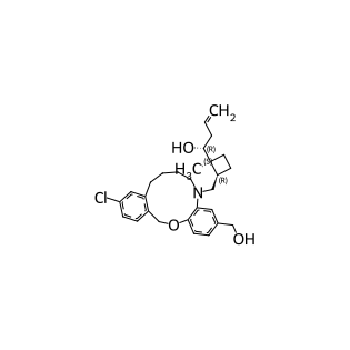 C=CC[C@@H](O)[C@@]1(C)CC[C@H]1CN1CCCCc2cc(Cl)ccc2COc2ccc(CO)cc21